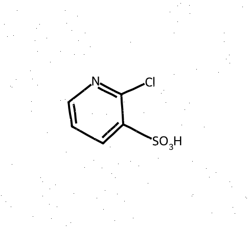 O=S(=O)(O)c1cccnc1Cl